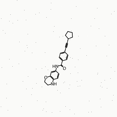 O=C(Nc1ccc2c(c1)OCCN2)c1ccc(C#CC2CCCC2)cc1